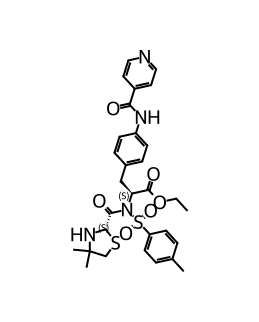 CCOC(=O)[C@H](Cc1ccc(NC(=O)c2ccncc2)cc1)N(C(=O)[C@H]1NC(C)(C)CS1)S(=O)(=O)c1ccc(C)cc1